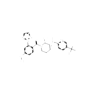 COc1ccc(C(=O)N2CCC[C@@H](Nc3ccc(C(F)(F)F)cn3)[C@@H]2C)c(-n2nccn2)c1